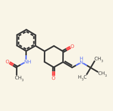 CC(=O)Nc1ccccc1C1CC(=O)C(=CNC(C)(C)C)C(=O)C1